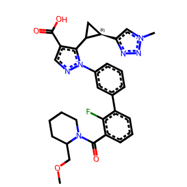 COCC1CCCCN1C(=O)c1cccc(-c2cccc(-n3ncc(C(=O)O)c3C3C[C@H]3c3cn(C)nn3)c2)c1F